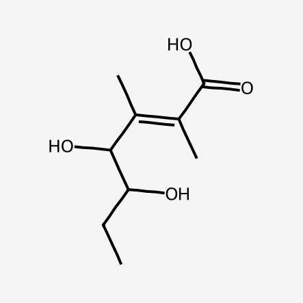 CCC(O)C(O)C(C)=C(C)C(=O)O